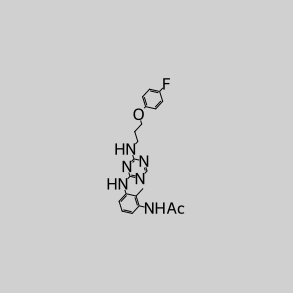 CC(=O)Nc1cccc(Nc2ncnc(NCCCOc3ccc(F)cc3)n2)c1C